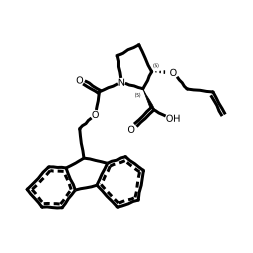 C=CCO[C@H]1CCN(C(=O)OCC2c3ccccc3-c3ccccc32)[C@@H]1C(=O)O